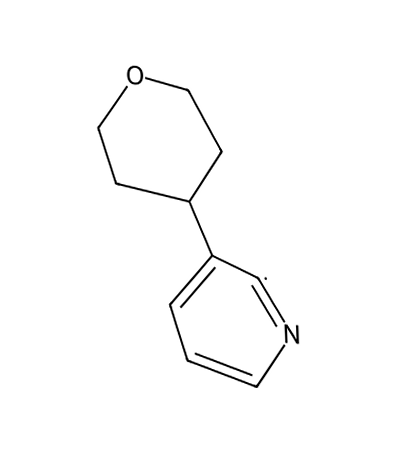 [c]1ncccc1C1CCOCC1